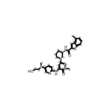 Cc1cccc2sc(C(=O)N[C@@H]3CCCN(c4cc(Nc5ccc(N(C)CCO)cn5)c(=O)n(C)n4)C3)cc12